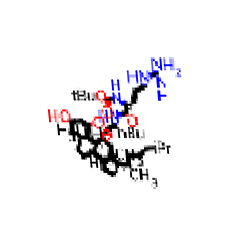 CCCC[C@H](NC(=O)[C@H](CCCNC(=N)N)NC(=O)OC(C)(C)C)C(=O)OC1C[C@H](O)CC2CC[C@@H]3[C@H](CC[C@]4(C)[C@@H]([C@H](C)CCCC(C)C)CC[C@@H]34)[C@]21C